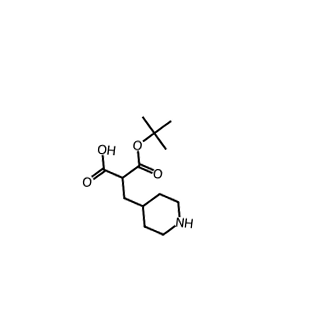 CC(C)(C)OC(=O)C(CC1CCNCC1)C(=O)O